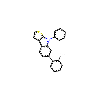 O=[N+]([O-])c1ccccc1-c1ccc2c3ccsc3n(-c3ccccc3)c2c1